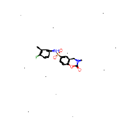 Cc1cc(NS(=O)(=O)c2ccc3c(c2)CN(C)C(=O)O3)ccc1F